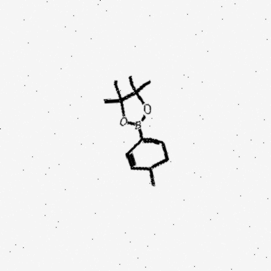 CC1C=CC(B2OC(C)(C)C(C)(C)O2)=CC1